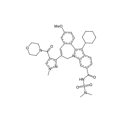 COc1ccc2c(c1)C=C(c1nn(C)cc1C(=O)N1CCOCC1)Cn1c-2c(C2CCCCC2)c2ccc(C(=O)NS(=O)(=O)N(C)C)cc21